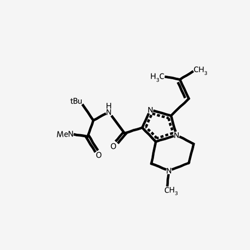 CNC(=O)C(NC(=O)c1nc(C=C(C)C)n2c1CN(C)CC2)C(C)(C)C